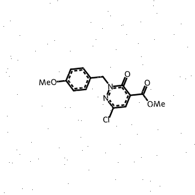 COC(=O)c1cc(Cl)nn(Cc2ccc(OC)cc2)c1=O